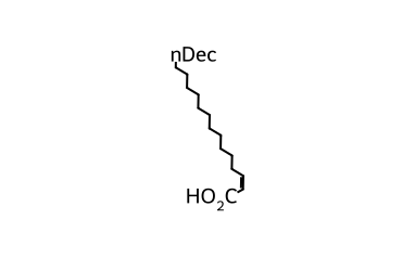 CCCCCCCCCCCCCCCCCCCCC/C=C\C(=O)O